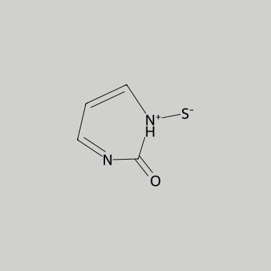 O=C1N=CC=C[NH+]1[S-]